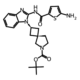 CC(C)(C)OC(=O)N1CC[C@]2(C1)C[C@H](n1c(NC(=O)c3ccc(N)s3)nc3ccccc31)C2